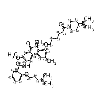 COc1cc(C(=O)N(C)c2ccc(C)cc2OCCCCCC(=O)N2CCC(N(C)C)CC2)ccc1NC(=O)c1ccccc1OCCCN(C)C